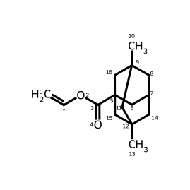 C=COC(=O)C12CC3CC(C)(CC(C)(C3)C1)C2